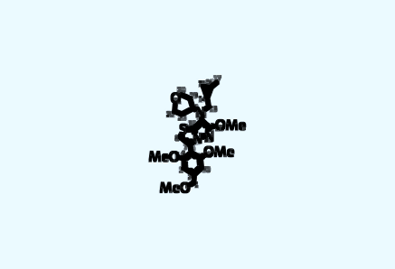 COCc1cc(OC)c(-c2csc3c(N(CC4CC4C)C4CCOCC4)c(OC)nn23)c(OC)c1